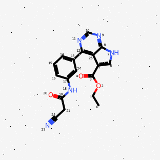 CCOC(=O)c1c[nH]c2ncnc(-c3cccc(NC(=O)CC#N)c3)c12